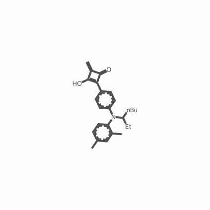 C=C1C(=O)C(c2ccc(N(c3ccc(C)cc3C)C(CC)CCCC)cc2)=C1O